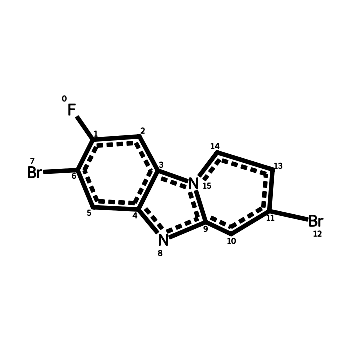 Fc1cc2c(cc1Br)nc1cc(Br)ccn12